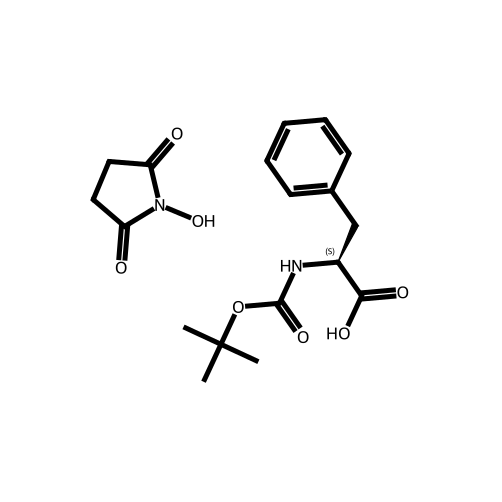 CC(C)(C)OC(=O)N[C@@H](Cc1ccccc1)C(=O)O.O=C1CCC(=O)N1O